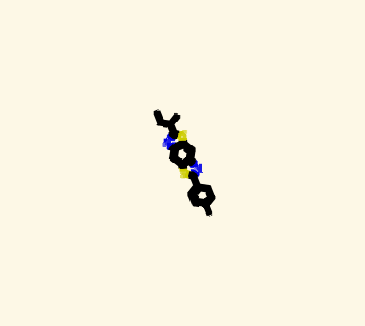 CCC(C)c1nc2cc3sc(-c4ccc(C)cc4)nc3cc2s1